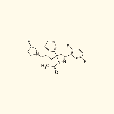 CC(=O)N1N=C(c2cc(F)ccc2F)C[C@@]1(CCCN1CC[C@@H](F)C1)c1ccccc1